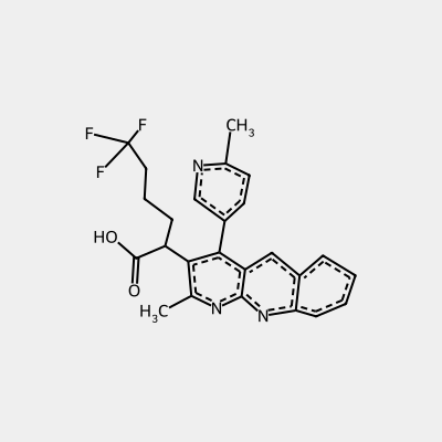 Cc1ccc(-c2c(C(CCCC(F)(F)F)C(=O)O)c(C)nc3nc4ccccc4cc23)cn1